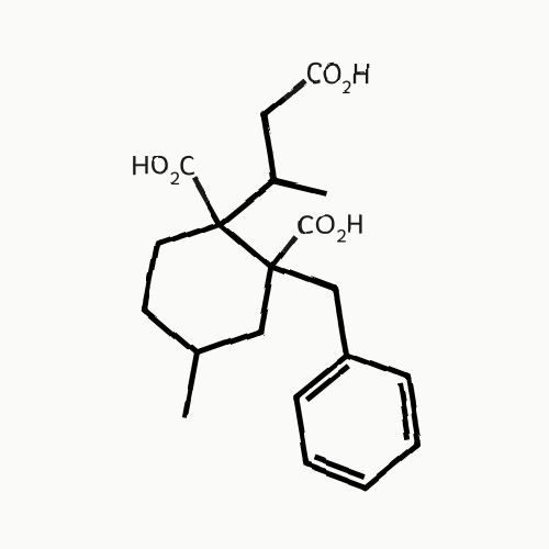 CC1CCC(C(=O)O)(C(C)CC(=O)O)C(Cc2ccccc2)(C(=O)O)C1